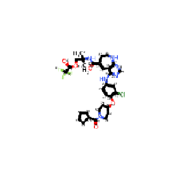 CC(C)(COC(=O)C(F)(F)F)NC(=O)C1=Cc2c(ncnc2Nc2ccc(OC3CCN(C(=O)C4CCCC4)CC3)c(Cl)c2)NCC1